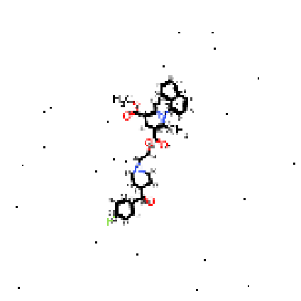 COC(=O)C1=C(C)N(c2cccc3ccccc23)C(C)=C(C(=O)OCCN2CCC(C(=O)c3ccc(F)cc3)CC2)C1